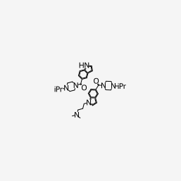 CC(C)N1CCN(C(=O)c2ccc3[nH]ccc3c2)CC1.CC(C)N1CCN(C(=O)c2ccc3c(ccn3CCCN(C)C)c2)CC1